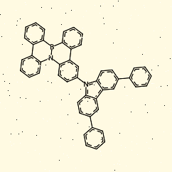 c1ccc(-c2ccc3c(c2)c2cc(-c4ccccc4)ccc2n3-c2ccc3c(c2)-c2ccccc2B2c4ccccc4-c4ccccc4N23)cc1